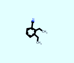 CCc1cccc(C#N)c1CC